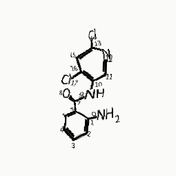 Nc1ccccc1C(=O)Nc1cnc(Cl)cc1Cl